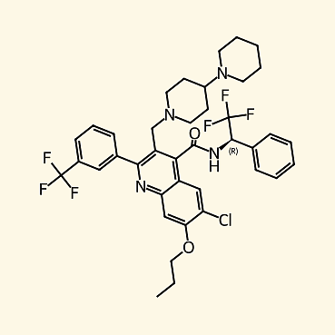 CCCOc1cc2nc(-c3cccc(C(F)(F)F)c3)c(CN3CCC(N4CCCCC4)CC3)c(C(=O)N[C@H](c3ccccc3)C(F)(F)F)c2cc1Cl